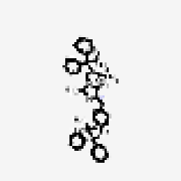 CC1=N/C(=C\c2ccc(O[Si](c3ccccc3)(c3ccccc3)C(C)(C)C)cc2)C(=O)N1CC(C(C)(C)C)C(C(=O)O)(c1ccccc1)c1ccccc1